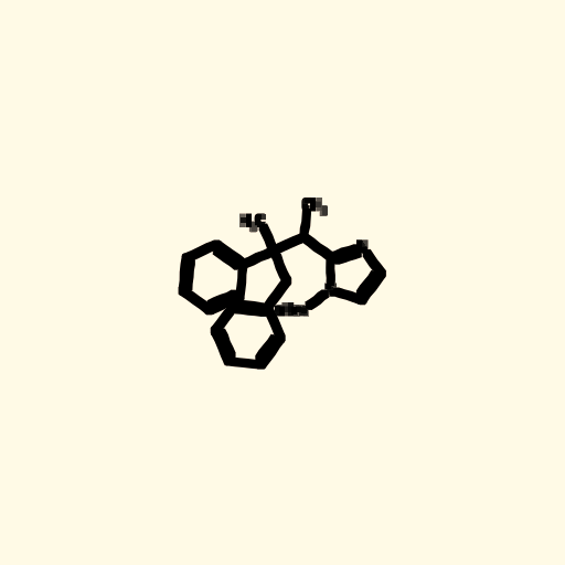 CCCCCCn1ccnc1C(C)C(C)(Cc1ccccc1)c1ccccc1